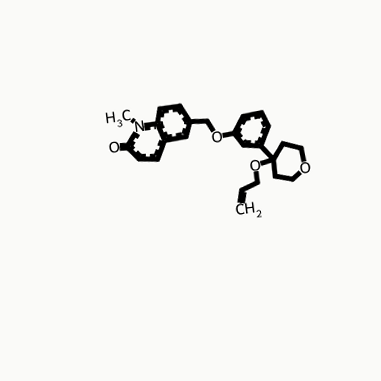 C=CCOC1(c2cccc(OCc3ccc4c(ccc(=O)n4C)c3)c2)CCOCC1